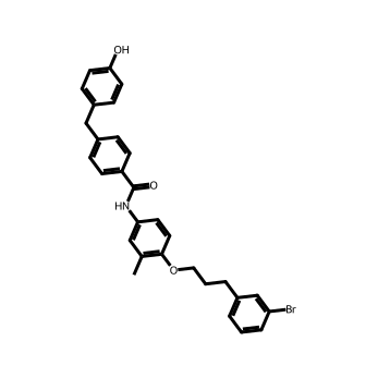 Cc1cc(NC(=O)c2ccc(Cc3ccc(O)cc3)cc2)ccc1OCCCc1cccc(Br)c1